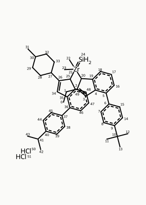 CCC1=Cc2c(-c3ccc(C(C)(C)C)cc3)cccc2[CH]1[Zr]([CH3])([CH3])(=[SiH2])[CH]1C(C2CCC(C)CC2)=Cc2c(-c3ccc(C(C)C)cc3)cccc21.Cl.Cl